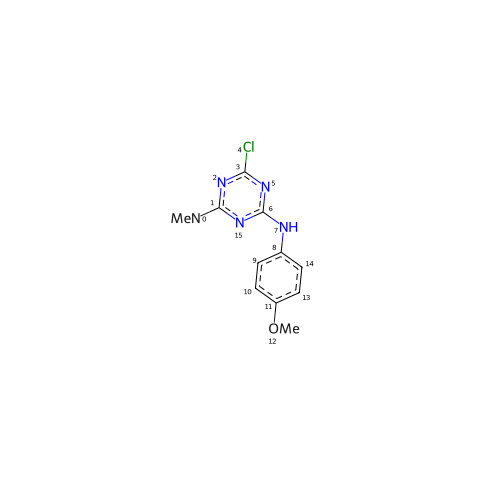 CNc1nc(Cl)nc(Nc2ccc(OC)cc2)n1